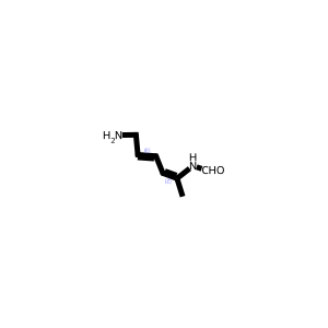 C/C(=C/C=C/CN)NC=O